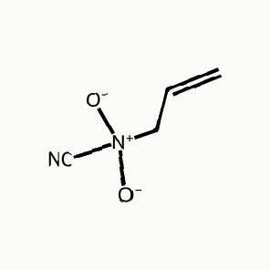 C=CC[N+]([O-])([O-])C#N